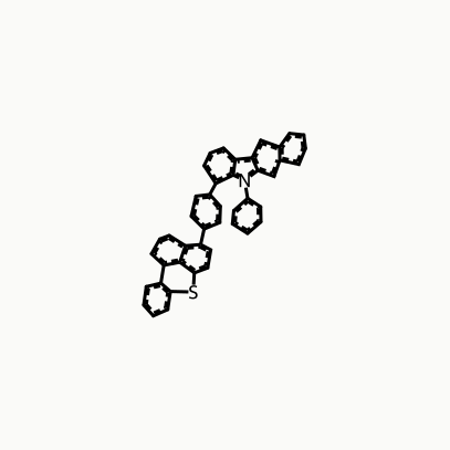 c1ccc(-n2c3cc4ccccc4cc3c3cccc(-c4ccc(-c5ccc6c7c(cccc57)-c5ccccc5S6)cc4)c32)cc1